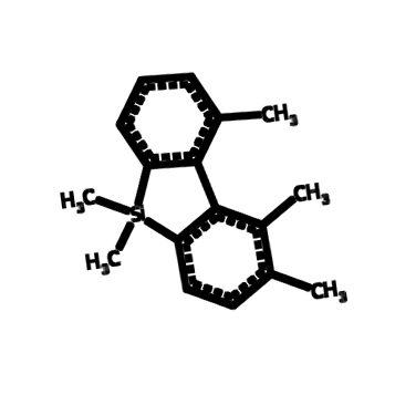 Cc1ccc2c(c1C)-c1c(C)cccc1[Si]2(C)C